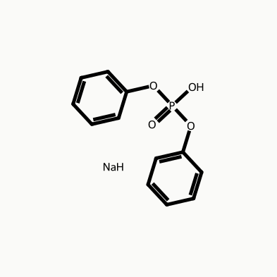 O=P(O)(Oc1ccccc1)Oc1ccccc1.[NaH]